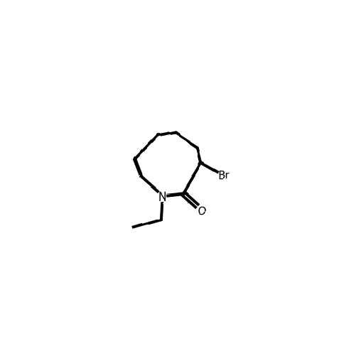 CCN1CCCCCC(Br)C1=O